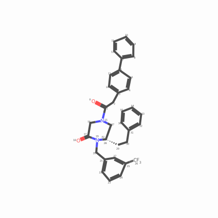 O=C(Cc1ccc(-c2ccccc2)cc1)N1CC(=O)N(Cc2cccc(C(F)(F)F)c2)[C@@H](CCc2ccccc2)C1